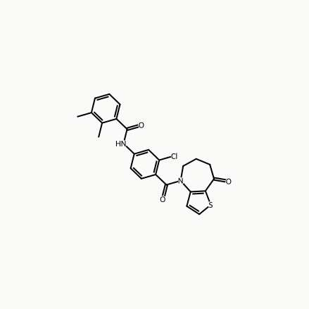 Cc1cccc(C(=O)Nc2ccc(C(=O)N3CCCC(=O)c4sccc43)c(Cl)c2)c1C